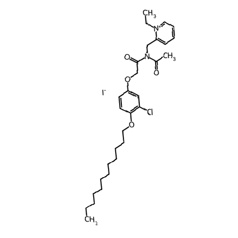 CCCCCCCCCCCCOc1ccc(OCC(=O)N(Cc2cccc[n+]2CC)C(C)=O)cc1Cl.[I-]